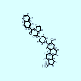 C[C@]12C[C@H](N3CCN(C(=O)[C@@H]4CCCN4C(=O)c4ccc5ncccc5c4)CC3)[C@@H](O)CC1CCC1C2CC[C@@]2(C)C1CC[C@@H]2O